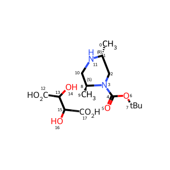 C[C@@H]1CN(C(=O)OC(C)(C)C)[C@@H](C)CN1.O=C(O)C(O)C(O)C(=O)O